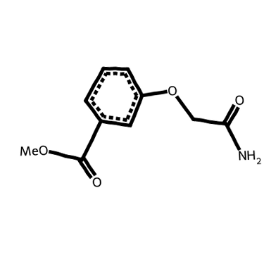 COC(=O)c1cccc(OCC(N)=O)c1